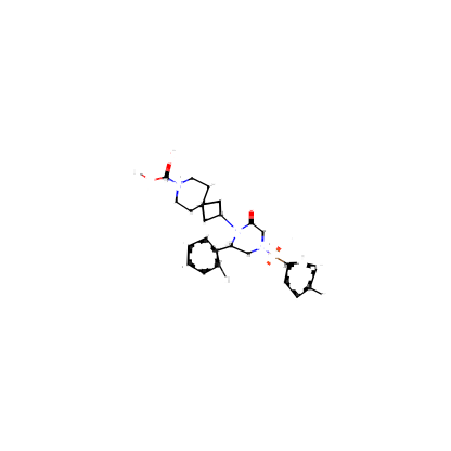 Cc1ccc(S(=O)(=O)N2CC(=O)N(C3CC4(CCN(C(=O)OC(C)(C)C)CC4)C3)C(c3ccccc3C(C)C)C2)cc1